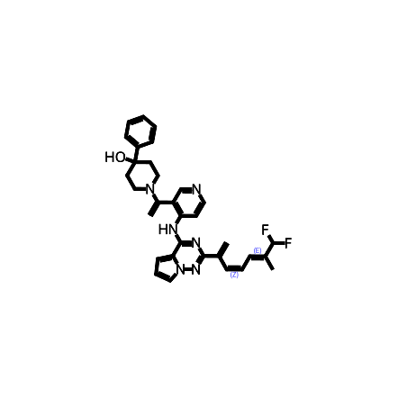 C=C(/C=C\C=C(/C)C(F)F)c1nc(Nc2ccncc2C(=C)N2CCC(O)(c3ccccc3)CC2)c2cccn2n1